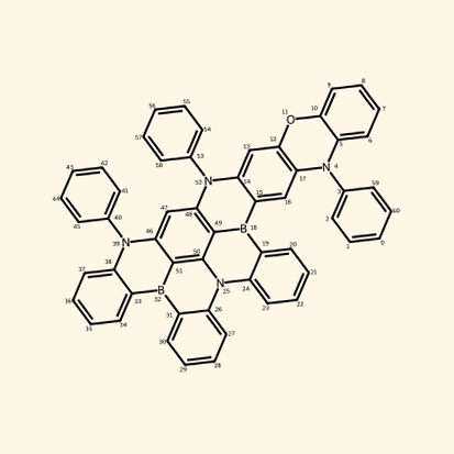 c1ccc(N2c3ccccc3Oc3cc4c(cc32)B2c3ccccc3N3c5ccccc5B5c6ccccc6N(c6ccccc6)c6cc(c2c3c65)N4c2ccccc2)cc1